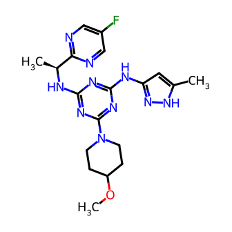 COC1CCN(c2nc(Nc3cc(C)[nH]n3)nc(N[C@@H](C)c3ncc(F)cn3)n2)CC1